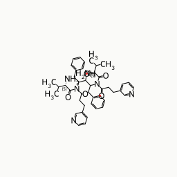 CC(C)[C@H](N)C(=O)N(C(=O)CCc1cccnc1)C(Cc1ccccc1)C(O)C(Cc1ccccc1)N(C(=O)CCc1cccnc1)C(=O)[C@@H](N)C(C)C